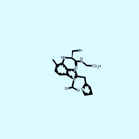 CCC(CC)n1c(Cc2cccs2)nc2c(N[C@@H](CC(C)C)C(=O)NCC(=O)O)c(C)ccc21